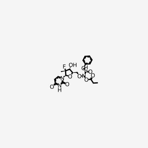 CCC(=O)ON(OC[C@H]1O[C@@H](n2ccc(=O)[nH]c2=O)[C@](C)(F)[C@@H]1O)[PH](=O)Oc1ccccc1